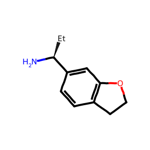 CC[C@H](N)c1ccc2c(c1)OCC2